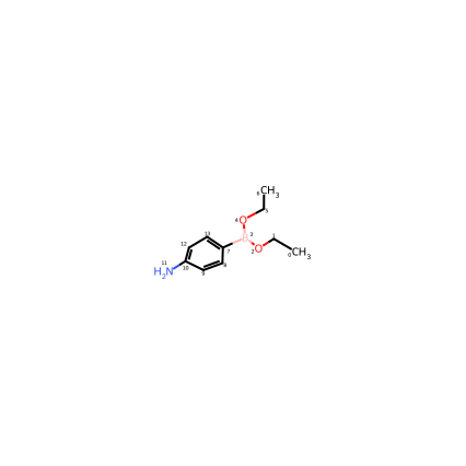 CCOB(OCC)c1ccc(N)cc1